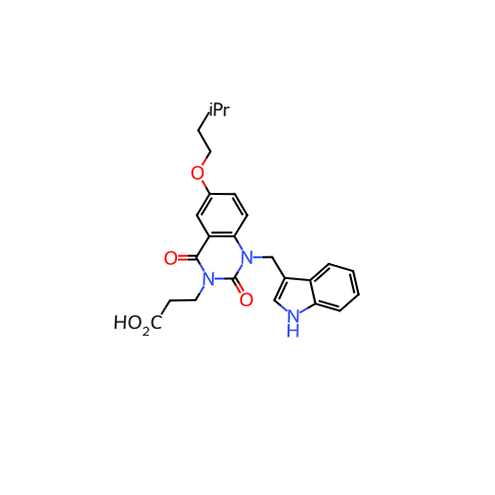 CC(C)CCOc1ccc2c(c1)c(=O)n(CCC(=O)O)c(=O)n2Cc1c[nH]c2ccccc12